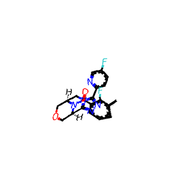 Cc1cccc(C(=O)N2[C@H]3COC[C@@H]2c2nnc(-c4ccc(F)cn4)n2C3)c1F